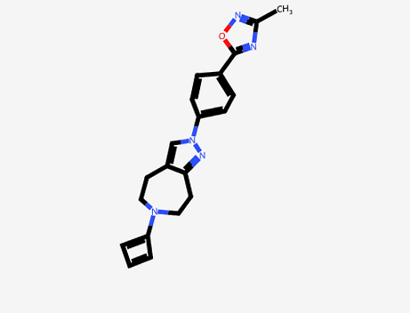 Cc1noc(-c2ccc(-n3cc4c(n3)CCN(C3=CC=C3)CC4)cc2)n1